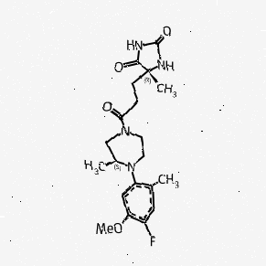 COc1cc(N2CCN(C(=O)CC[C@@]3(C)NC(=O)NC3=O)C[C@@H]2C)c(C)cc1F